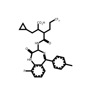 Cc1ccc(C2=NC(NC(=O)C(CCC(F)(F)F)C(CC3CC3)C(=O)O)C(=O)Nc3c(F)cccc32)cc1